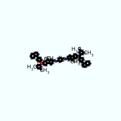 Cc1cc(C)cc(N(c2ccc(-c3cccc4ccccc34)cc2)c2ccc3c(c2)C(C)(C)c2cc(/C=C/c4ccc(/C=C/c5ccc6c(c5)C(C)(C)c5cc(N(c7ccc(-c8cccc9ccccc89)cc7)c7cc(C)cc(C)c7)ccc5-6)cc4)ccc2-3)c1